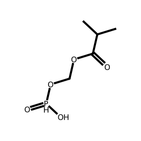 CC(C)C(=O)OCO[PH](=O)O